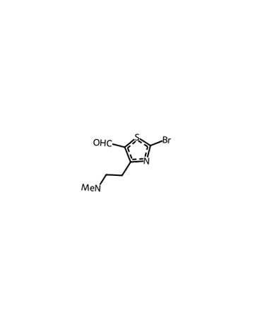 CNCCc1nc(Br)sc1C=O